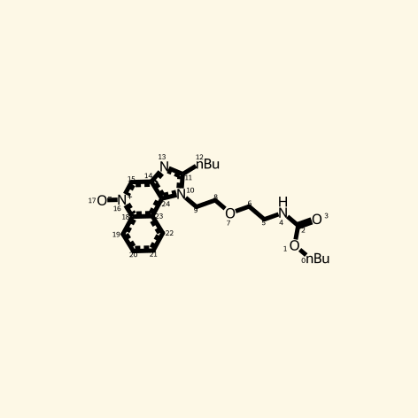 CCCCOC(=O)NCCOCCn1c(CCCC)nc2c[n+]([O-])c3ccccc3c21